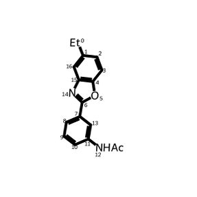 CCc1ccc2oc(-c3cccc(NC(C)=O)c3)nc2c1